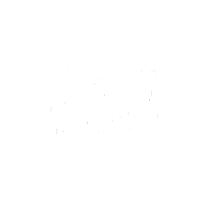 CC(C)COC(=O)C(C(=O)OCC(C)C)C(CC(C)C)C1CCCCC1